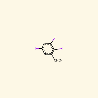 O=[C]c1cc(I)cc(I)c1I